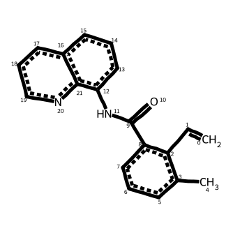 C=Cc1c(C)cccc1C(=O)Nc1cccc2cccnc12